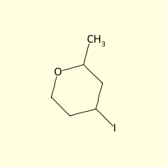 CC1CC(I)CCO1